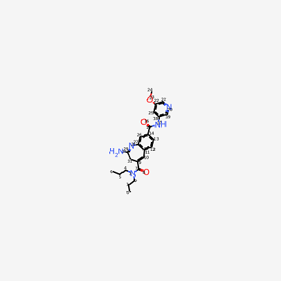 CCCN(CCC)C(=O)C1=Cc2ccc(C(=O)Nc3cncc(OC)c3)cc2N=C(N)C1